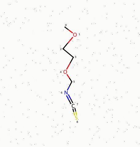 COCCOCN=C=S